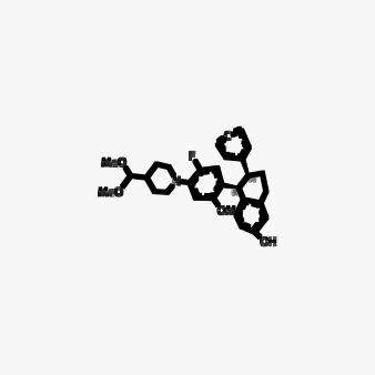 COc1cc(N2CCC(C(OC)OC)CC2)c(F)cc1[C@@H]1c2ccc(O)cc2CC[C@@H]1c1ccccc1